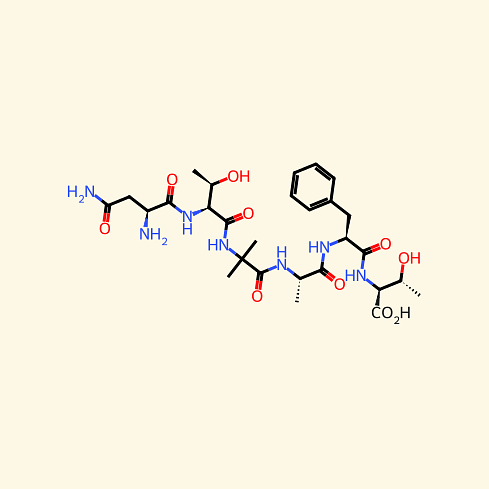 C[C@H](NC(=O)C(C)(C)NC(=O)[C@@H](NC(=O)[C@@H](N)CC(N)=O)[C@@H](C)O)C(=O)N[C@@H](Cc1ccccc1)C(=O)N[C@H](C(=O)O)[C@@H](C)O